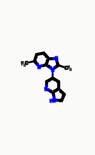 FC(F)(F)c1ccc2nc(C(F)(F)F)n(-c3cnc4[nH]ccc4c3)c2n1